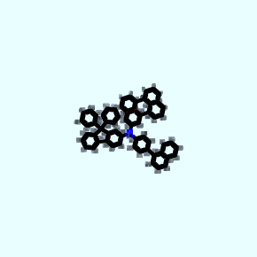 c1ccc(-c2cccc3cccc(-c4cccc(N(c5ccc(-c6cccc7ccccc67)cc5)c5ccc6c(c5)C(c5ccccc5)(c5ccccc5)c5ccccc5-6)c4)c23)cc1